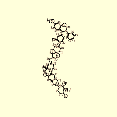 O=C1CCC(N2Cc3cc4c(cc3C2)N2CCN(C[C@@H]3COC5(CCN(c6ccc([C@H]7c8ccc(O)cc8OC[C@H]7c7ccccc7)cc6F)CC5)C3)C[C@H]2CO4)C(=O)N1